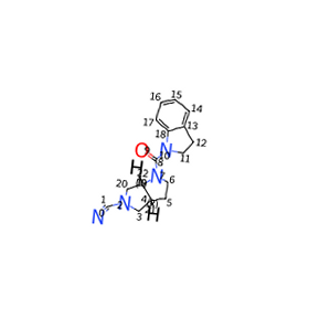 N#CN1C[C@H]2CCN(C(=O)N3CCc4ccccc43)[C@H]2C1